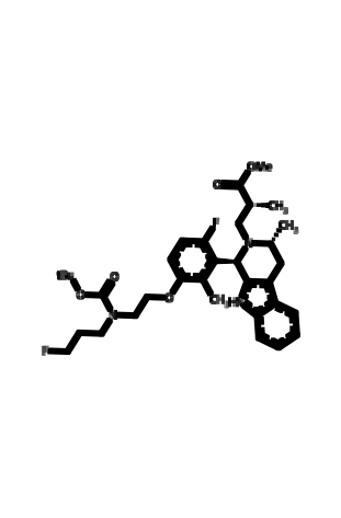 COC(=O)[C@H](C)CN1[C@H](c2c(F)ccc(OCCN(CCCF)C(=O)OC(C)(C)C)c2C)c2[nH]c3ccccc3c2C[C@H]1C